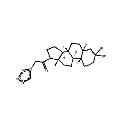 CC[C@@]1(O)CC[C@H]2[C@H](CC[C@@H]3[C@@H]2CC[C@]2(C)[C@@H](C(=O)Cn4cnnn4)CC[C@@H]32)C1